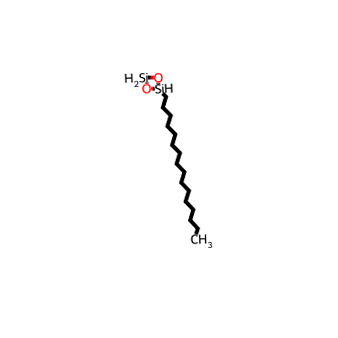 CCCCCCCCCCCCCCCC[SiH]1O[SiH2]O1